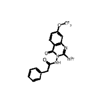 CCCc1nc2cc(OC(F)(F)F)ccc2c(=O)n1NC(=O)Cc1ccccc1